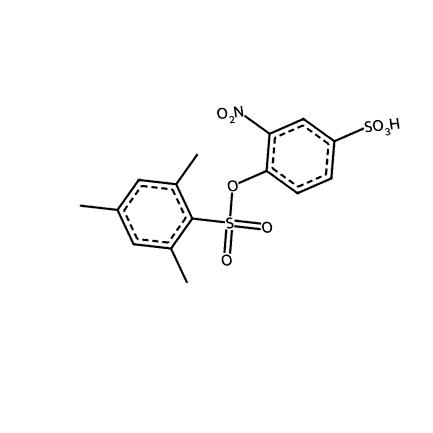 Cc1cc(C)c(S(=O)(=O)Oc2ccc(S(=O)(=O)O)cc2[N+](=O)[O-])c(C)c1